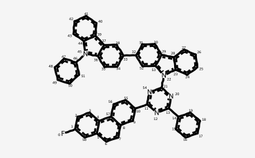 Fc1ccc2c(ccc3cc(-c4nc(-c5ccccc5)nc(-n5c6ccccc6c6ccc(-c7ccc8c(c7)c7ccccc7n8-c7ccccc7)cc65)n4)ccc32)c1